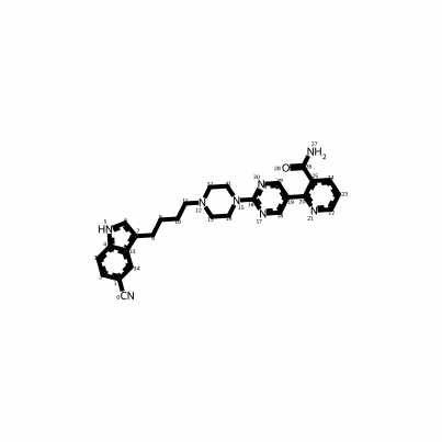 N#Cc1ccc2[nH]cc(CCCCN3CCN(c4ncc(-c5ncccc5C(N)=O)cn4)CC3)c2c1